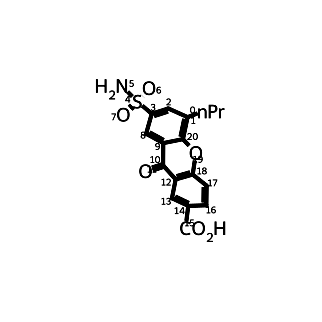 CCCc1cc(S(N)(=O)=O)cc2c(=O)c3cc(C(=O)O)ccc3oc12